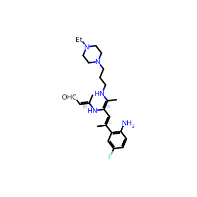 CCN1CCN(CCCN/C(C)=C(/C=C(\C)c2cc(F)ccc2N)N/C(C)=C/C=O)CC1